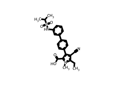 CCc1c(C#N)c(-c2ccc(-c3cccc(NS(=O)(=O)C(C)C)c3)cc2)c(C(=O)O)n1C